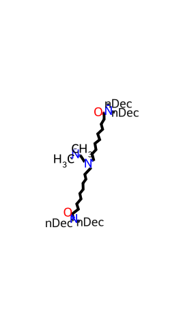 CCCCCCCCCCN(CCCCCCCCCC)C(=O)CCCCCCCCCN(CCCCCCCCCC(=O)N(CCCCCCCCCC)CCCCCCCCCC)CCN(C)C